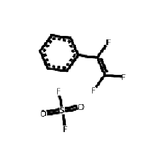 FC(F)=C(F)c1ccccc1.O=S(=O)(F)F